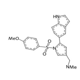 CNCc1cc(-c2ccc3[nH]ccc3c2)n(S(=O)(=O)c2ccc(OC)cc2)c1